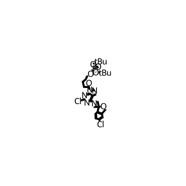 CC(C)(C)OP(=O)(COCC1CCC(n2ncc3c(N4CC5(C4)OCc4cc(Cl)ccc45)nc(Cl)nc32)O1)OC(C)(C)C